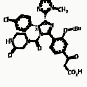 Cn1ccnc1[C@@H]1N=C(c2ccc(C(=O)CC(=O)O)cc2OC(C)(C)C)N(C(=O)N2CCNC(=O)C2)[C@@H]1c1ccc(Cl)cc1